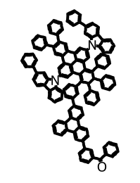 O=C(c1ccccc1)c1cccc(-c2ccc3c4ccc(-c5cccc(C6=c7c(c8cc(-n9c%10ccccc%10c%10ccc(-c%11ccccc%11)cc%109)cc9c%10cc(-c%11ccccc%11)c(-c%11ccccc%11)cc%10c%10cc(-n%11c%12ccccc%12c%12ccc(-c%13ccccc%13)cc%12%11)cc7c%10c89)=C(c7ccccc7)C(c7ccccc7)C6c6ccccc6)c5)cc4c4ccccc4c3c2)c1